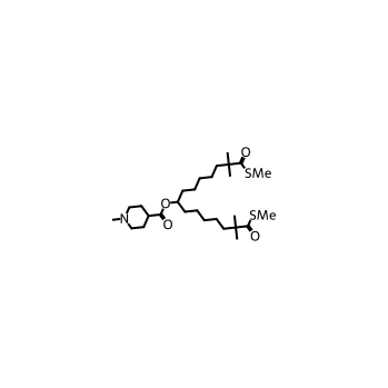 CSC(=O)C(C)(C)CCCCCC(CCCCCC(C)(C)C(=O)SC)OC(=O)C1CCN(C)CC1